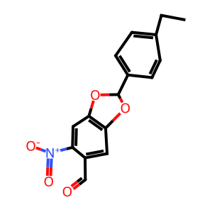 CCc1ccc(C2Oc3cc(C=O)c([N+](=O)[O-])cc3O2)cc1